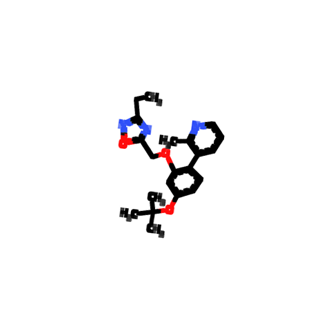 CCc1noc(COc2cc(OC(C)(C)C)ccc2-c2cccnc2C)n1